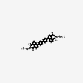 CCCCCCCN1CC(=O)c2ccc(-c3ccc(-c4ccc(-c5ccc6c7c(cccc57)C(=O)N(CCCCCCC)C6=O)cc4)cc3)c3cccc(c23)C1=O